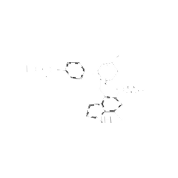 COc1cc(C)c2[nH]ccc2c1CN1CC[C@H](C)C[C@H]1c1ccc(C(=O)O)cc1